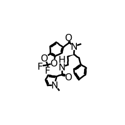 CN(C(=O)c1ccc2c(c1)OC(F)(F)O2)[C@H](CCNC(=O)c1cccn1C)Cc1ccccc1